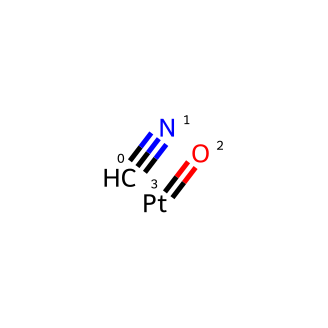 C#N.[O]=[Pt]